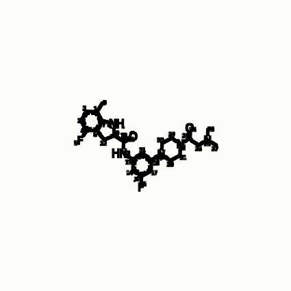 Cc1ccc(F)c2c1NC(C(=O)Nc1cc(F)cc(N3CCN(C(=O)CN(C)C)CC3)c1)C2